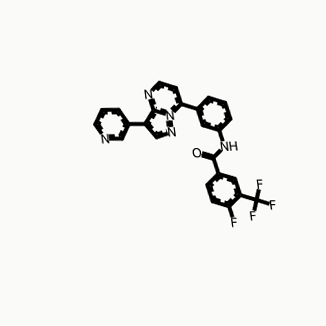 O=C(Nc1cccc(-c2ccnc3c(-c4cccnc4)cnn23)c1)c1ccc(F)c(C(F)(F)F)c1